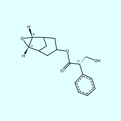 O=C(OC1CC2CC(C1)[C@@H]1O[C@H]21)[C@H](CO)c1ccccc1